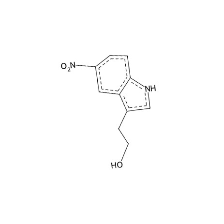 O=[N+]([O-])c1ccc2[nH]cc(CCO)c2c1